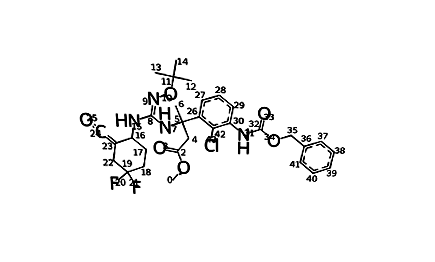 COC(=O)CC(C)(N/C(=N\OC(C)(C)C)NC1CCC(F)(F)CC1=C=O)c1cccc(NC(=O)OCc2ccccc2)c1Cl